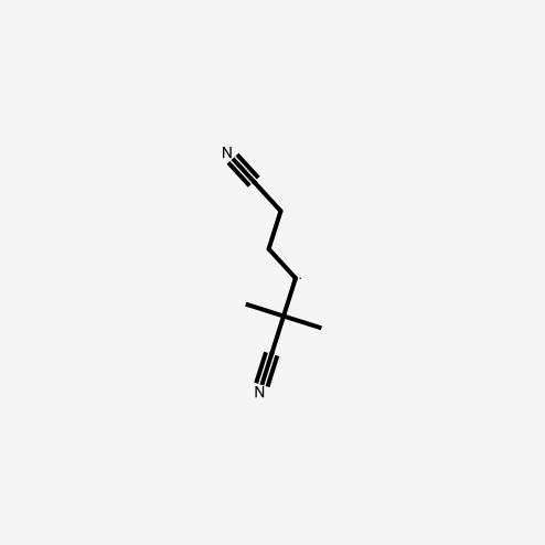 CC(C)(C#N)[CH]CCC#N